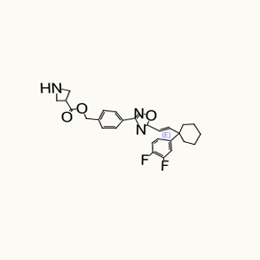 O=C(OCc1ccc(-c2noc(/C=C/C3(c4ccc(F)c(F)c4)CCCCC3)n2)cc1)C1CNC1